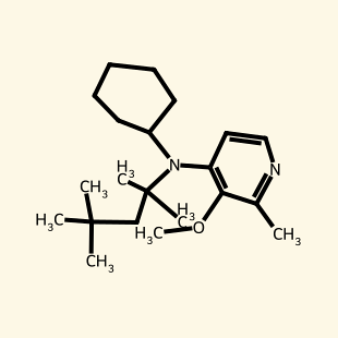 COc1c(N(C2CCCCC2)C(C)(C)CC(C)(C)C)ccnc1C